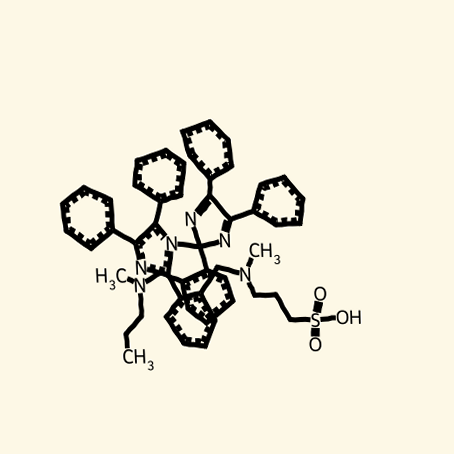 CCCN(C)Cc1ccccc1C1(n2c(-c3ccccc3CN(C)CCCS(=O)(=O)O)nc(-c3ccccc3)c2-c2ccccc2)N=C(c2ccccc2)C(c2ccccc2)=N1